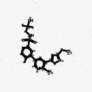 Cc1ccc(S(=O)(=O)NCC(C)(C)O)cc1-c1cnc(N)c(C2=CC(CC(F)(F)F)=NC2)c1